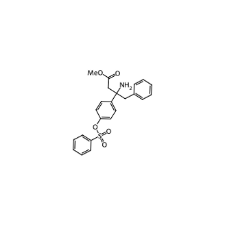 COC(=O)CC(N)(Cc1ccccc1)c1ccc(OS(=O)(=O)c2ccccc2)cc1